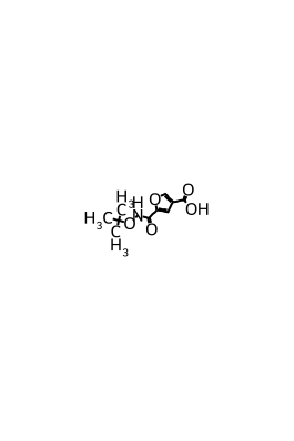 CC(C)(C)ONC(=O)c1cc(C(=O)O)co1